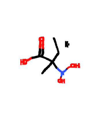 CCC(C)(C(=O)O)N(O)O.[K]